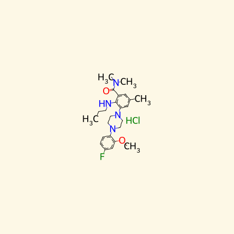 CCCNc1c(C(=O)N(C)C)cc(C)cc1N1CCN(c2ccc(F)cc2OC)CC1.Cl